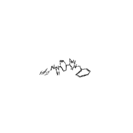 NNc1ccc(-c2nnn(Cc3ccccc3)n2)cc1